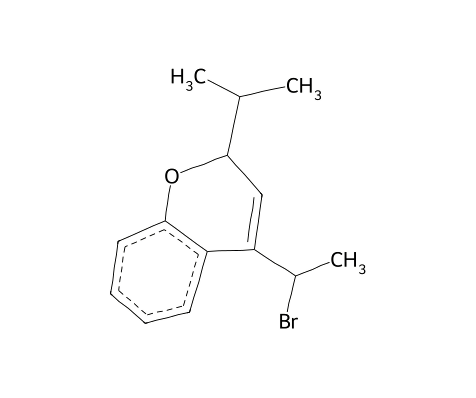 CC(Br)C1=CC(C(C)C)Oc2ccccc21